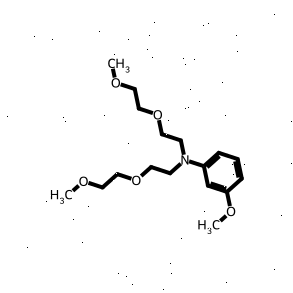 COCCOCCN(CCOCCOC)c1cccc(OC)c1